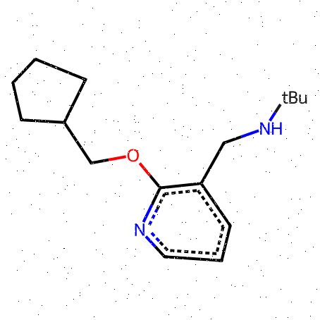 CC(C)(C)NCc1cccnc1OCC1CCCC1